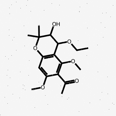 CCOC1c2c(cc(OC)c(C(C)=O)c2OC)OC(C)(C)C1O